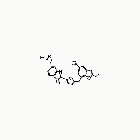 CC(C)c1cc2cc(Cl)cc(Cc3ccc(-c4nc5cc(CCN)ccc5[nH]4)o3)c2o1